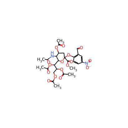 COC(=O)C1(Oc2ccc([N+](=O)[O-])cc2C=O)CC(OC(C)=O)C(NC(C)=O)C(C(OC(C)=O)C(COC(C)=O)OC(C)=O)O1